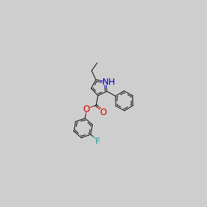 CCc1cc(C(=O)Oc2cccc(F)c2)c(-c2ccccc2)[nH]1